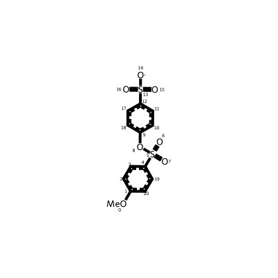 COc1ccc(S(=O)(=O)Oc2ccc(S([O])(=O)=O)cc2)cc1